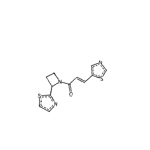 O=C(/C=C/c1cncs1)N1CCC1c1nccs1